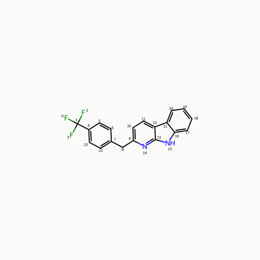 FC(F)(F)c1ccc(Cc2ccc3c(n2)[nH]c2ccccc23)cc1